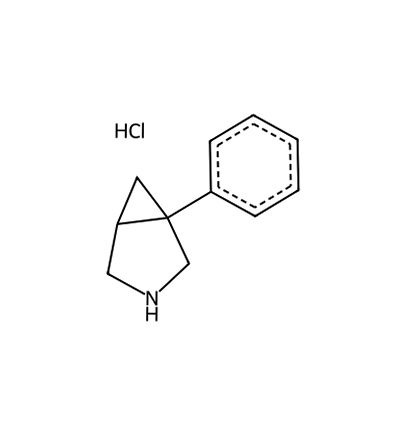 Cl.c1ccc(C23CNCC2C3)cc1